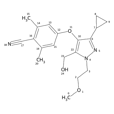 COCCn1nc(C2CC2)c(Oc2cc(C)c(C#N)c(C)c2)c1CO